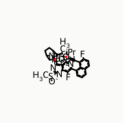 CC1Oc2nc(-c3cccc4ccc(F)c(C#C[Si](C(C)C)(C(C)C)C(C)C)c34)c(F)c3nc([S+](C)[O-])nc(c23)N2CC3CCC(C12)N3C(=O)O